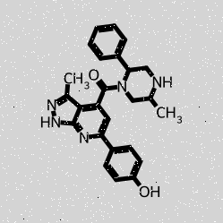 Cc1n[nH]c2nc(-c3ccc(O)cc3)cc(C(=O)N3CC(C)NCC3c3ccccc3)c12